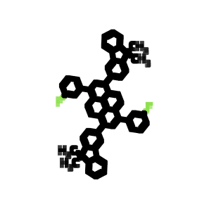 CC1(C)c2ccccc2-c2cc(-c3cc(-c4cccc(F)c4)c4ccc5c(-c6ccc7c(c6)-c6ccccc6C7(C)C)cc(-c6cccc(F)c6)c6ccc3c4c65)ccc21